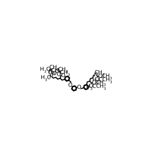 CN(CCCC(Cc1cccc(COc2cccc(OCc3cccc(CC(CCCN(C)C(=O)OC(C)(C)C)C(=O)OC(C)(C)C)c3)c2)c1)C(=O)OC(C)(C)C)C(=O)OC(C)(C)C